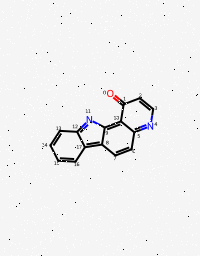 O=C1C=CN=c2ccc3c(c21)N=c1ccccc1=3